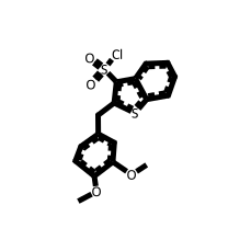 COc1ccc(Cc2sc3ccccc3c2S(=O)(=O)Cl)cc1OC